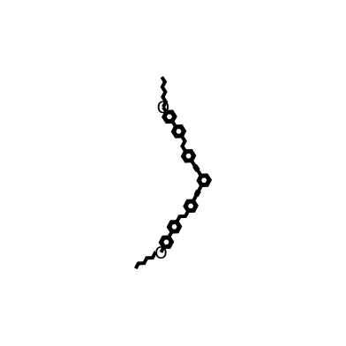 CCCCCCOc1ccc(-c2ccc(CCc3ccc(C#Cc4cccc(C#Cc5ccc(CCc6ccc(-c7ccc(OCCCCCC)cc7)cc6)cc5)c4)cc3)cc2)cc1